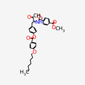 CCCCCCCOc1ccc(C(=O)Oc2ccc(C[C@H](NC(=O)c3ccc(C(=O)OC)cc3)C(C)=O)cc2)cc1